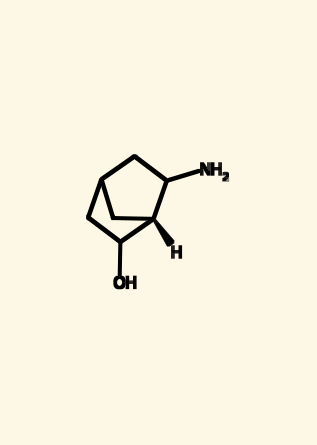 NC1CC2CC(O)[C@@H]1C2